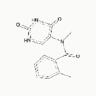 Cc1ccccc1C(=O)N(C)c1c[nH]c(=O)[nH]c1=O